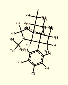 [2H]c1c([2H])c(C2(C([2H])(N(C([2H])([2H])[2H])C([2H])([2H])[2H])C([2H])([2H])C([2H])(C([2H])([2H])[2H])C([2H])([2H])C)C([2H])([2H])C([2H])([2H])C2([2H])[2H])c([2H])c([2H])c1Cl